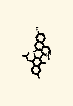 Cc1ccc2c(CC(C)C)c3c(c(C)c2c1)-c1c2c(cc4cc(F)ccc4c2cc[n+]1C)S3